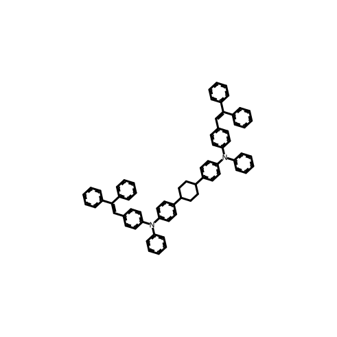 C(=C(c1ccccc1)c1ccccc1)c1ccc(N(c2ccccc2)c2ccc(C3CCC(c4ccc(N(c5ccccc5)c5ccc(C=C(c6ccccc6)c6ccccc6)cc5)cc4)CC3)cc2)cc1